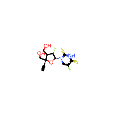 C#C[C@]1(CO)O[C@@H](n2cc(F)c(=S)[nH]c2=S)[C@@H](F)C1CO